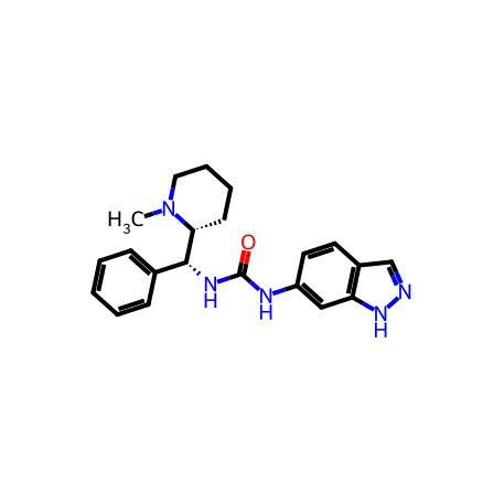 CN1CCCC[C@@H]1[C@H](NC(=O)Nc1ccc2cn[nH]c2c1)c1ccccc1